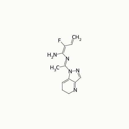 C=C/C(F)=C(N)\N=C(/C)n1ncc2c1=CCCN=2